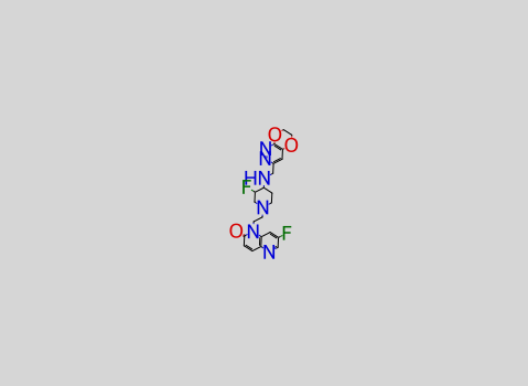 O=c1ccc2ncc(F)cc2n1CCN1CCC(NCc2cc3c(nn2)OCCO3)C(F)C1